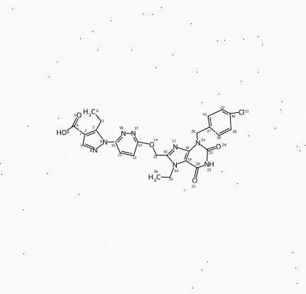 CCc1c(C(=O)O)cnn1-c1ccc(OCc2nc3c(c(=O)[nH]c(=O)n3Cc3ccc(Cl)cc3)n2CC)nn1